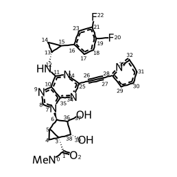 CNC(=O)[C@]12CC1[C@@H](n1cnc3c(N[C@@H]4CC4c4ccc(F)c(F)c4)nc(C#Cc4ccccn4)nc31)C(O)[C@@H]2O